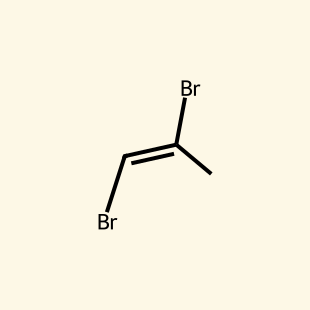 C/C(Br)=C\Br